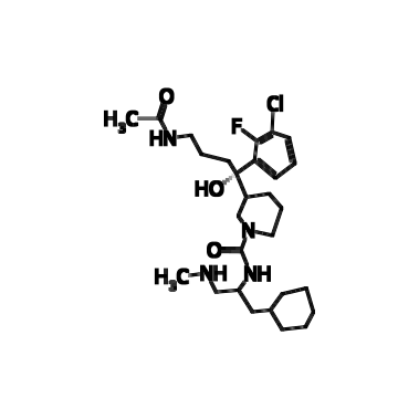 CNCC(CC1CCCCC1)NC(=O)N1CCCC([C@@](O)(CCCNC(C)=O)c2cccc(Cl)c2F)C1